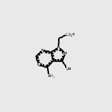 N#Cc1nn(CC(=O)O)c2ncnc(N)c12